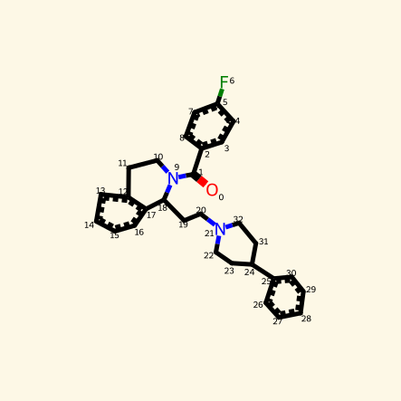 O=C(c1ccc(F)cc1)N1CCc2ccccc2C1CCN1CCC(c2ccccc2)CC1